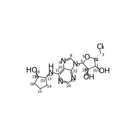 O[C@@H]1[C@@H](CCl)OC(n2cnc3c(N[C@H]4CCC[C@H]4O)ncnc32)[C@@H]1O